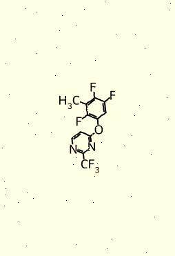 Cc1c(F)c(F)cc(Oc2ccnc(C(F)(F)F)n2)c1F